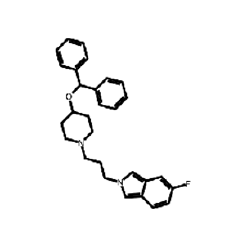 Fc1ccc2cn(CCCN3CCC(OC(c4ccccc4)c4ccccc4)CC3)cc2c1